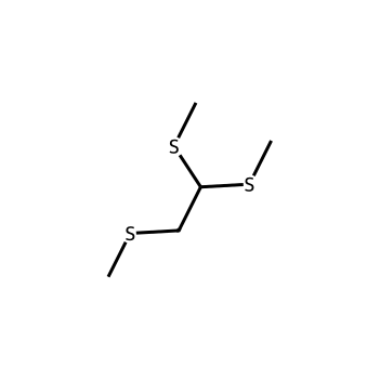 CSCC(SC)SC